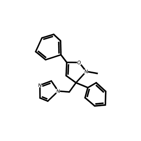 CN1OC(c2ccccc2)=CC1(Cn1ccnc1)c1ccccc1